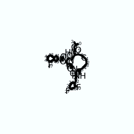 C=C(C)OC(=O)NC1CCCCC/C=C\C2CC2(C(=O)NCCc2ccc(F)cc2F)NC(=O)[C@@H]2CC(OC(=O)N3Cc4cccc(F)c4C3)CN2C1=O